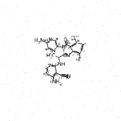 CC(Nc1ncnc(N)c1C#N)c1nc2c(F)ccc(Cl)c2c(=O)n1-c1cnc(N)cn1